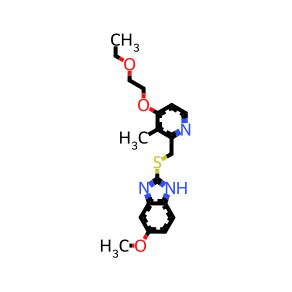 CCOCCOc1ccnc(CSc2nc3cc(OC)ccc3[nH]2)c1C